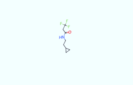 O=C(CC(F)(F)F)NCCC1CC1